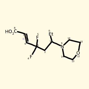 CCC(CC(F)(F)/C=C/C(=O)O)N1CCOCC1